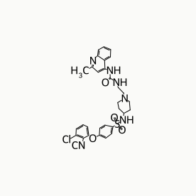 Cc1cc(NC(=O)NCCN2CCC(NS(=O)(=O)c3ccc(Oc4cccc(Cl)c4C#N)cc3)CC2)c2ccccc2n1